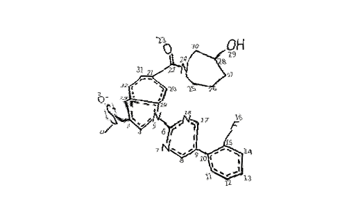 C[S+]([O-])c1cn(-c2ncc(-c3ccccc3F)cn2)c2cc(C(=O)N3CCCC(O)C3)ccc12